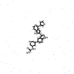 CCCC(=O)Nc1cncc(-c2cnc3[nH]nc(-c4cc5c(-c6ccoc6)nccc5[nH]4)c3c2)c1